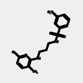 Nc1cnc(Cl)nc1NCCCNS(=O)(=O)c1cccc([N+](=O)[O-])c1